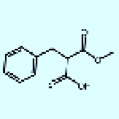 COC(=O)C(Cc1ccccc1)C(O)=S